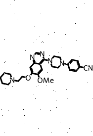 COc1cc2c(N3CCN(c4ccc(C#N)cc4)CC3)ncnc2cc1OCCN1CCCCC1